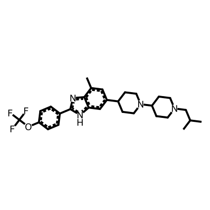 Cc1cc(C2CCN(C3CCN(CC(C)C)CC3)CC2)cc2[nH]c(-c3ccc(OC(F)(F)F)cc3)nc12